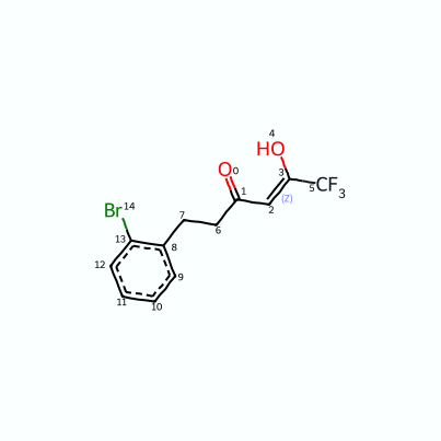 O=C(/C=C(\O)C(F)(F)F)CCc1ccccc1Br